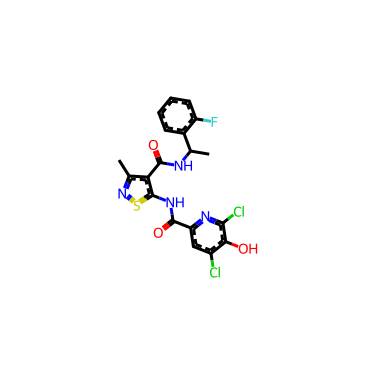 Cc1nsc(NC(=O)c2cc(Cl)c(O)c(Cl)n2)c1C(=O)NC(C)c1ccccc1F